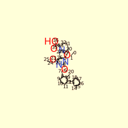 CCOc1nc(OCc2cccc(-c3ccccc3)c2C)nc(OCC)c1CN1CCCCC1C(=O)O